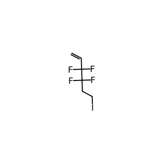 C=CC(F)(F)C(F)(F)CCI